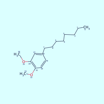 CCCCCC[CH]Cc1ccc(OC)c(OC)c1